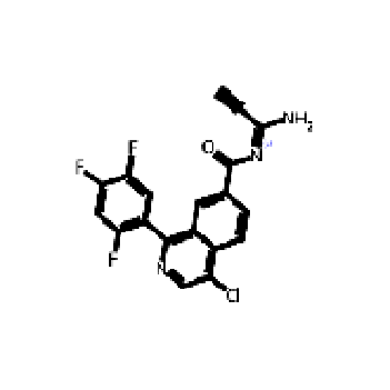 C#C/C(N)=N\C(=O)c1ccc2c(Cl)cnc(-c3cc(F)c(F)cc3F)c2c1